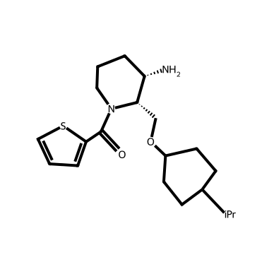 CC(C)C1CCC(OC[C@H]2[C@@H](N)CCCN2C(=O)c2cccs2)CC1